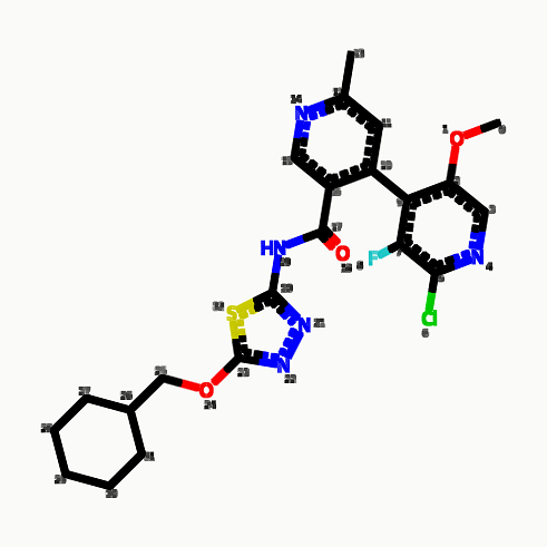 COc1cnc(Cl)c(F)c1-c1cc(C)ncc1C(=O)Nc1nnc(OCC2CCCCC2)s1